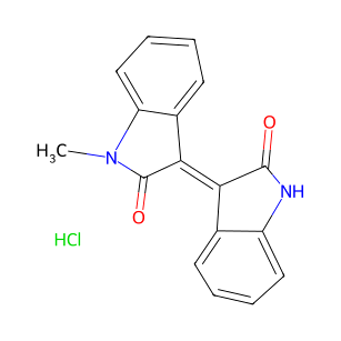 CN1C(=O)C(=C2C(=O)Nc3ccccc32)c2ccccc21.Cl